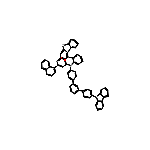 c1cc(-c2ccc(N(c3cccc(-c4cccc5ccccc45)c3)c3ccccc3-c3cccc4oc5ccccc5c34)cc2)cc(-c2ccc(-n3c4ccccc4c4ccccc43)cc2)c1